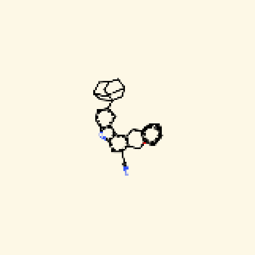 N#Cc1cc2[nH]c3ccc(C45CC6CC(CC(C6)C4)C5)cc3c2c2c1C1c3ccccc3C2c2ccccc21